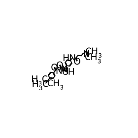 CN(C)CCCC(=O)Nc1ccc(N(S)C(=O)NC(=O)c2ccc(C(C)(C)C)cc2)cc1